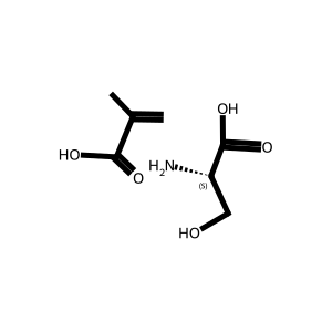 C=C(C)C(=O)O.N[C@@H](CO)C(=O)O